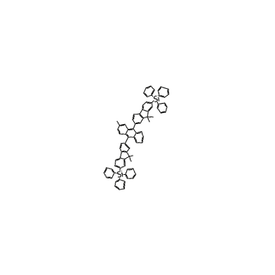 Cc1ccc2c(-c3ccc4c(c3)C(C)(C)c3cc([Si](c5ccccc5)(c5ccccc5)c5ccccc5)ccc3-4)c3ccccc3c(-c3ccc4c(c3)C(C)(C)c3cc([Si](c5ccccc5)(c5ccccc5)c5ccccc5)ccc3-4)c2c1